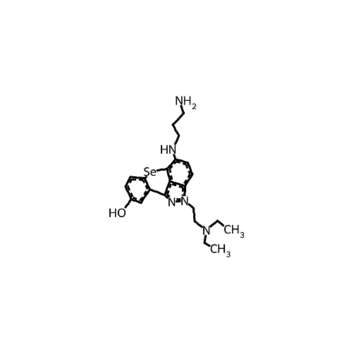 CCN(CC)CCn1nc2c3c(c(NCCCN)ccc31)[Se]c1ccc(O)cc1-2